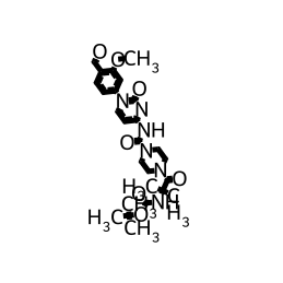 COc1cc(-n2ccc(NC(=O)N3CCN(C(=O)C(C)(C)NC(=O)OC(C)(C)C)CC3)nc2=O)ccc1C=O